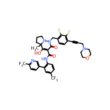 CC12CCCN1N(Cc1ccc(C#CCN3CCOCC3)c(F)c1F)C(=O)C(C(=O)Nc1ccc(C(F)(F)F)cc1-c1ccc(C(F)(F)F)nc1)=C2O